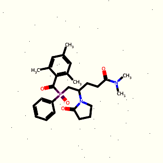 Cc1cc(C)c(C(=O)P(=O)(CC(CCC(=O)N(C)C)N2CCCC2=O)c2ccccc2)c(C)c1